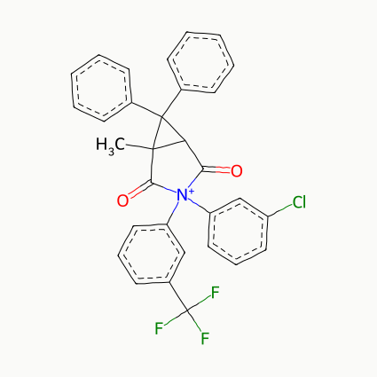 CC12C(=O)[N+](c3cccc(Cl)c3)(c3cccc(C(F)(F)F)c3)C(=O)C1C2(c1ccccc1)c1ccccc1